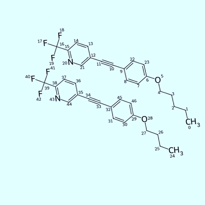 CCCCCOc1ccc(C#Cc2ccc(C(F)(F)F)nc2)cc1.CCCCOc1ccc(C#Cc2ccc(C(F)(F)F)nc2)cc1